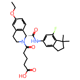 CCOc1ccc2c(c1)CCN(C(=O)CCCC(=O)O)[C@H]2C(=O)Nc1cc(F)c2c(c1)CCC2(C)C